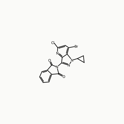 O=C1c2ccccc2C(=O)N1c1nn(C2CC2)c2c(Br)cc(Cl)nc12